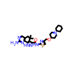 CC1(C)Cc2cnc(N)nc2-c2[nH]nc(C(=O)Nc3nc(COC4CCN(C5CCCCC5)CC4)cs3)c21